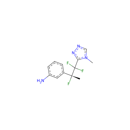 Cn1cnnc1C(F)(F)[C@](C)(F)c1cccc(N)c1